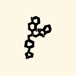 C1=CC2=CC(N(Cc3ccc(-n4ccnc4)cc3)Cc3nc4ccccc4[nH]3)CCC2N=C1